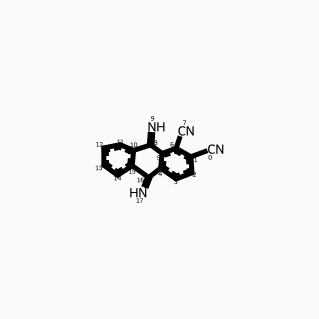 N#Cc1ccc2c(c1C#N)C(=N)c1ccccc1C2=N